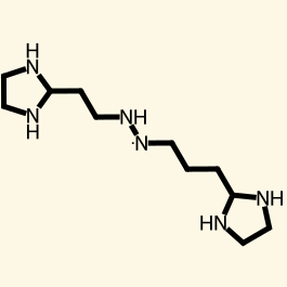 C(C[N]NCCC1NCCN1)CC1NCCN1